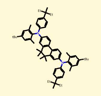 CCC(C)(CC)c1ccc(N(c2ccc3c(c2)C(C)(C)C(C)(C)c2cc(N(c4ccc(C(C)(CC)CC)cc4)c4c(C)cc(C(C)(C)C)cc4C)ccc2-3)c2c(C)cc(C(C)(C)C)cc2C)cc1